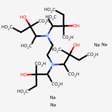 O=C(O)CC(O)(C(=O)O)C(C(=O)O)N(CCN(C(C(=O)O)C(O)(CC(=O)O)C(=O)O)C(C(=O)O)C(O)(CC(=O)O)C(=O)O)C(C(=O)O)C(O)(CC(=O)O)C(=O)O.[Na].[Na].[Na].[Na]